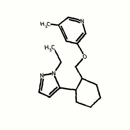 CCn1nccc1C1CCCCC1COc1cncc(C)c1